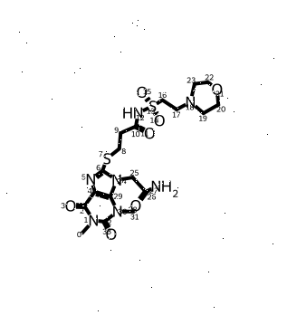 Cn1c(=O)c2nc(SCCC(=O)NS(=O)(=O)CCN3CCOCC3)n(CC(N)=O)c2n(C)c1=O